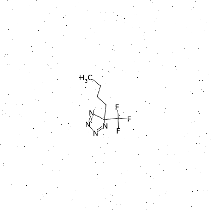 CCCCC1(C(F)(F)F)N=NN=N1